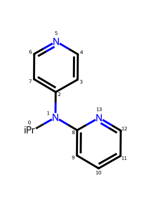 CC(C)N(c1ccncc1)c1ccccn1